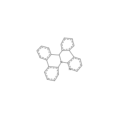 c1ccc2c(c1)-c1ccccc1N1c3ncccc3-c3ccccc3C21